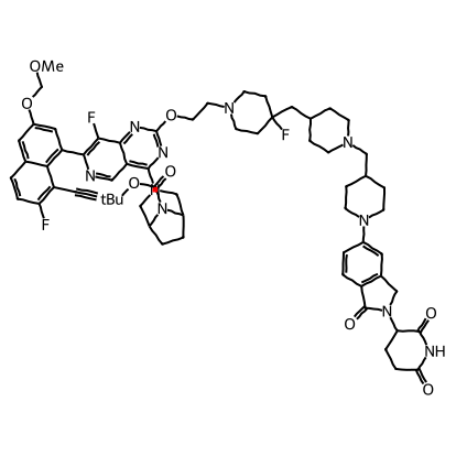 C#Cc1c(F)ccc2cc(OCOC)cc(-c3ncc4c(N5CC6CCC(C5)N6C(=O)OC(C)(C)C)nc(OCCN5CCC(F)(CC6CCN(CC7CCN(c8ccc9c(c8)CN(C8CCC(=O)NC8=O)C9=O)CC7)CC6)CC5)nc4c3F)c12